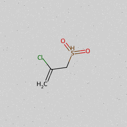 C=C(Cl)C[SH](=O)=O